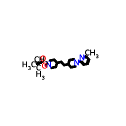 Cc1cccc(N2CCC(CCC3CCN(OC(=O)C(C)(C)C)CC3)CC2)n1